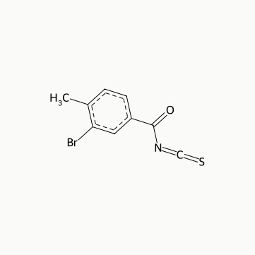 Cc1ccc(C(=O)N=C=S)cc1Br